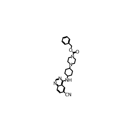 N#Cc1ccc2ncnc(NC3CCC(N4CCN(C(=O)OCc5ccccc5)CC4)CC3)c2c1